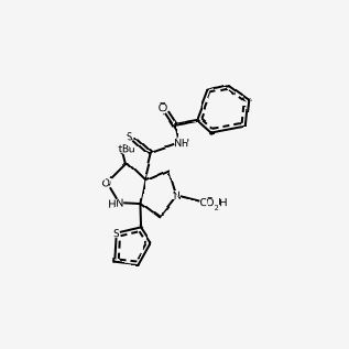 CC(C)(C)C1ONC2(c3cccs3)CN(C(=O)O)CC12C(=S)NC(=O)c1ccccc1